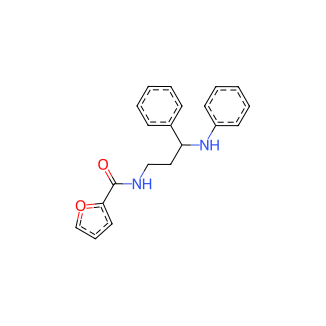 O=C(NCCC(Nc1ccccc1)c1ccccc1)c1ccco1